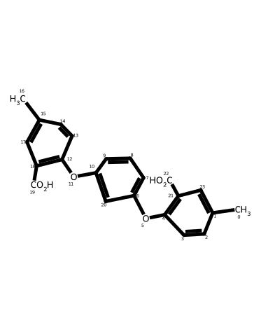 Cc1ccc(Oc2cccc(Oc3ccc(C)cc3C(=O)O)c2)c(C(=O)O)c1